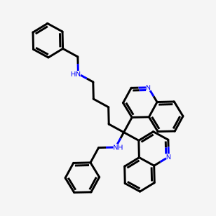 c1ccc(CNCCCCC(NCc2ccccc2)(c2ccnc3ccccc23)c2ccnc3ccccc23)cc1